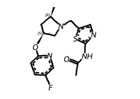 CC(=O)Nc1ncc(CN2C[C@@H](Oc3ccc(F)cn3)C[C@H]2C)s1